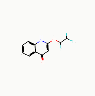 O=c1cc(OC(F)C(F)F)[nH]c2ccccc12